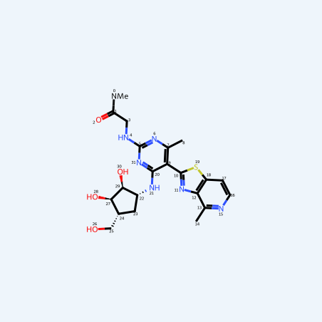 CNC(=O)CNc1nc(C)c(-c2nc3c(C)nccc3s2)c(N[C@@H]2C[C@H](CO)[C@@H](O)[C@H]2O)n1